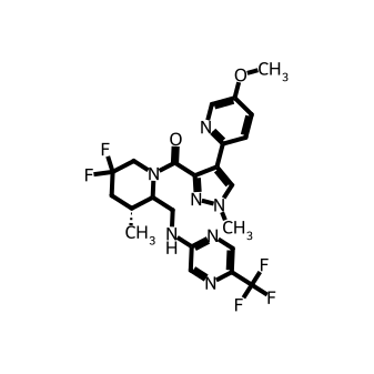 COc1ccc(-c2cn(C)nc2C(=O)N2CC(F)(F)C[C@@H](C)C2CNc2cnc(C(F)(F)F)cn2)nc1